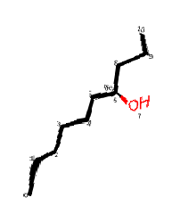 CCCCCC[C@H](O)CCC